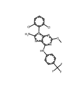 COc1nc(Nc2ccc(C(F)(F)F)cc2)c2nc(N)n(-c3c(Cl)cccc3Cl)c2n1